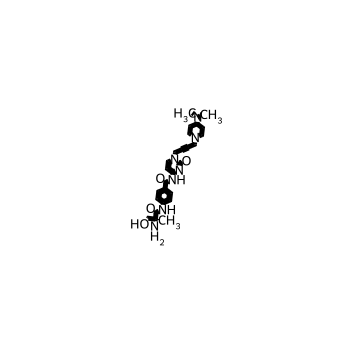 CN(C)C1CCN(CC#CCn2ccc(NC(=O)c3ccc(NC(=O)[C@@](C)(N)CO)cc3)nc2=O)CC1